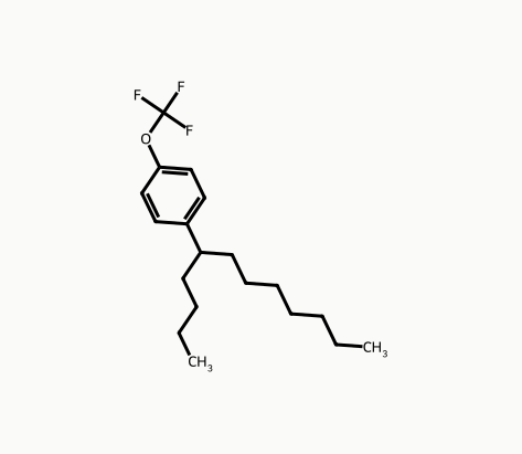 CCCCCCCC(CCCC)c1ccc(OC(F)(F)F)cc1